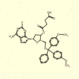 COc1ccc(C(OC[C@H]2O[C@@H](n3cnc4c(N)nc(F)nc43)CC2OC(=O)CCC(=O)O)(c2ccccc2)c2ccc(OC)cc2)cc1